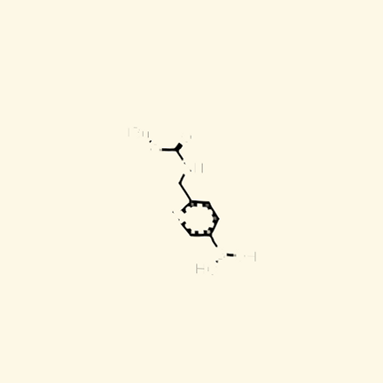 CC(C)(C)OC(=O)NCc1ccc(B(O)O)cn1